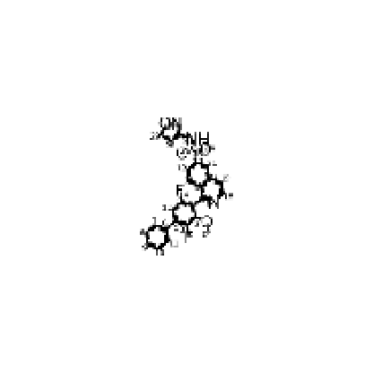 COc1c(F)c(-c2ccccc2)cc(F)c1-c1nccc2cc(S(=O)(=O)Nc3ccon3)ccc12